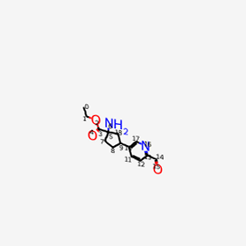 CCOC(=O)C1(N)CCC(c2ccc(C=O)nc2)C1